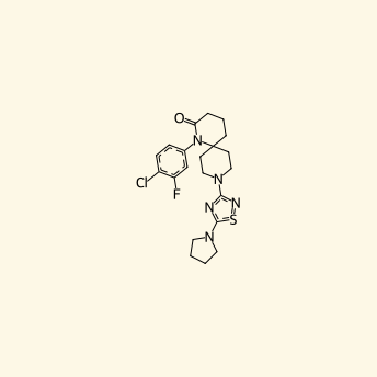 O=C1CCCC2(CCN(c3nsc(N4CCCC4)n3)CC2)N1c1ccc(Cl)c(F)c1